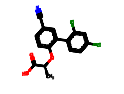 C[C@H](Oc1ccc(C#N)cc1-c1ccc(Cl)cc1Cl)C(=O)O